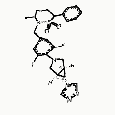 CC1CCC(c2ccccc2)S(=O)(=O)N1Cc1cc(F)c(N2C[C@@H]3[C@H](C2)[C@H]3n2cnnc2)c(F)c1